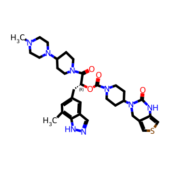 Cc1cc(C[C@@H](OC(=O)N2CCC(N3Cc4cscc4NC3=O)CC2)C(=O)N2CCC(N3CCN(C)CC3)CC2)cc2cn[nH]c12